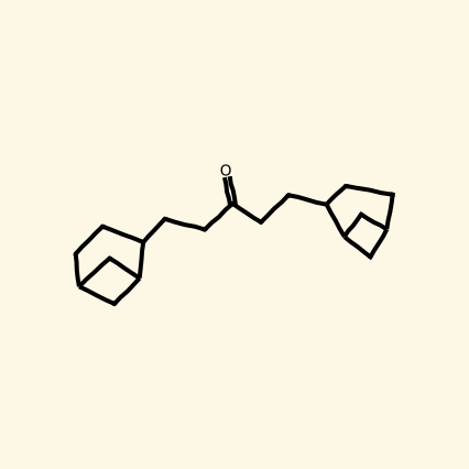 O=C(CCC1CCC2CC1C2)CCC1CCC2CC1C2